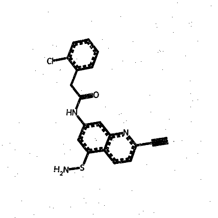 C#Cc1ccc2c(SN)cc(NC(=O)Cc3ccccc3Cl)cc2n1